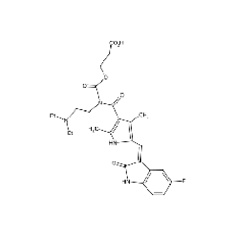 CCN(CC)CCN(C(=O)OCCC(=O)O)C(=O)c1c(C)[nH]c(C=C2C(=O)Nc3ccc(F)cc32)c1C